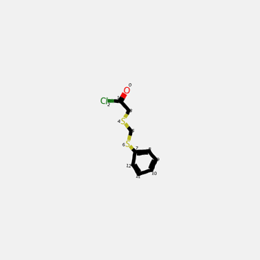 O=C(Cl)CSCSc1ccccc1